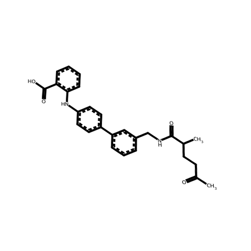 CC(=O)CCC(C)C(=O)NCc1cccc(-c2ccc(Nc3ccccc3C(=O)O)cc2)c1